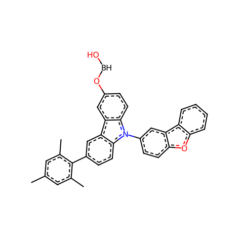 Cc1cc(C)c(-c2ccc3c(c2)c2cc(OBO)ccc2n3-c2ccc3oc4ccccc4c3c2)c(C)c1